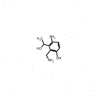 CC(O)c1c(N)ccc(O)c1CN